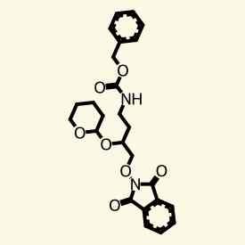 O=C(NCCC(CON1C(=O)c2ccccc2C1=O)OC1CCCCO1)OCc1ccccc1